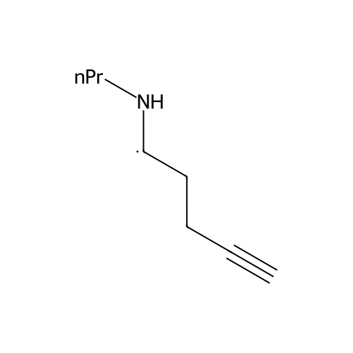 C#CCC[CH]NCCC